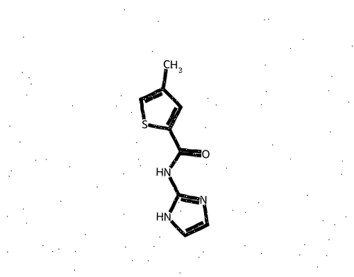 Cc1csc(C(=O)Nc2ncc[nH]2)c1